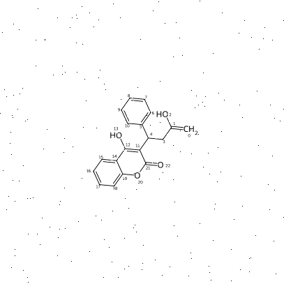 C=C(O)CC(c1ccccc1)c1c(O)c2ccccc2oc1=O